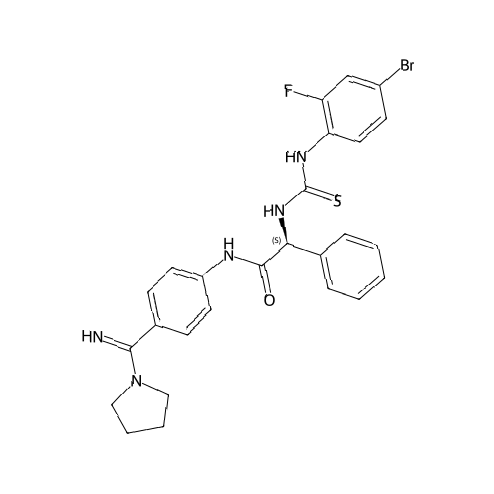 N=C(c1ccc(NC(=O)[C@@H](NC(=S)Nc2ccc(Br)cc2F)c2ccccc2)cc1)N1CCCC1